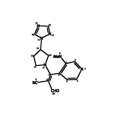 CNc1cnccc1/C(=C(/C#N)C=O)N1CCC(n2cncn2)C1